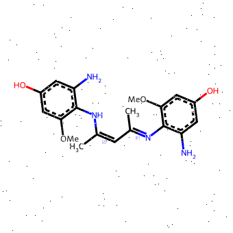 COc1cc(O)cc(N)c1/N=C(C)/C=C(/C)Nc1c(N)cc(O)cc1OC